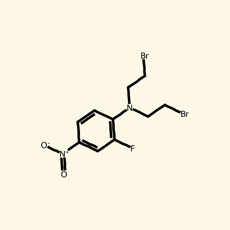 O=[N+]([O-])c1ccc(N(CCBr)CCBr)c(F)c1